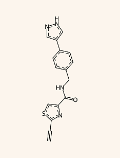 C#Cc1nc(C(=O)NCc2ccc(-c3cn[nH]c3)cc2)cs1